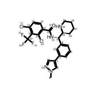 Cn1cc(-c2cccc([C@H](NC(=O)c3ccc(Cl)c(C(F)(F)F)c3Cl)[C@@H]3CCCCN3)c2)cn1